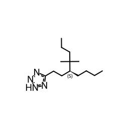 CCCC[C@@H](CCc1nn[nH]n1)C(C)(C)CCC